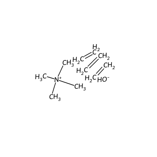 C=C.C=C.C=C.C[N+](C)(C)C.[OH-]